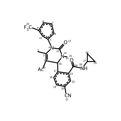 CC(=O)C1=C(C)N(c2cccc(C(F)(F)F)c2)C(=O)N(C)C1c1ccc(C#N)cc1C(=O)NC1CC1